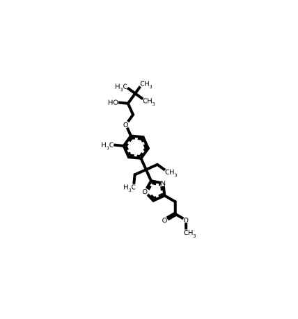 CCC(CC)(c1ccc(OCC(O)C(C)(C)C)c(C)c1)c1nc(CC(=O)OC)co1